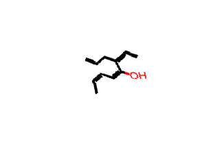 C=CCC(=C/C)/C(O)=C\C=C/C